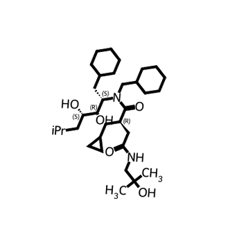 CC(C)C[C@H](O)[C@H](O)[C@H](CC1CCCCC1)N(CC1CCCCC1)C(=O)[C@@H](CC(=O)NCC(C)(C)O)CC1CC1